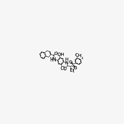 CCC(C(=O)Nc1cc(O)c(NC(=O)C2=CCc3ccccc3C2)cc1Cl)S(=O)(=O)c1cccc(C)c1